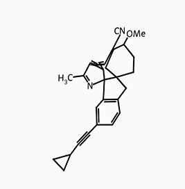 COC1CCC2(CC1)Cc1ccc(C#CC3CC3)cc1C21N=C(C)c2ccc(C#N)cc21